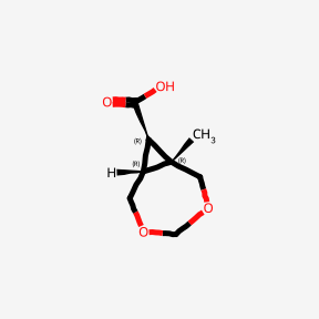 C[C@@]12COCOC[C@@H]1[C@H]2C(=O)O